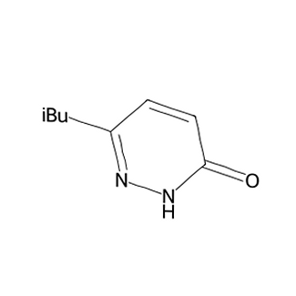 CCC(C)c1ccc(=O)[nH]n1